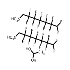 CC(O)O.O=S(=O)(O)CC(F)(F)C(F)(F)C(F)(F)C(F)(F)C(F)(F)C(F)F.O=S(=O)(O)CC(F)(F)C(F)(F)C(F)(F)C(F)(F)C(F)(F)C(F)F